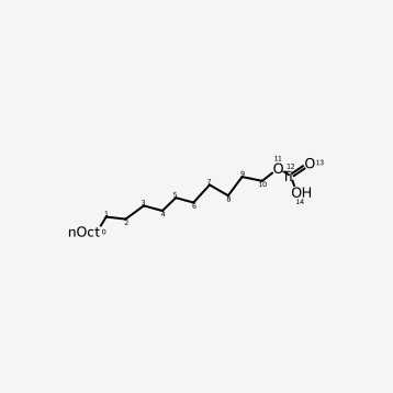 CCCCCCCCCCCCCCCCCC[O][Ti](=[O])[OH]